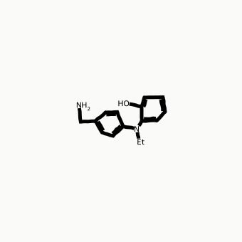 CCN(c1ccc(CN)cc1)c1ccccc1O